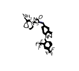 NCC1CN(C2=NC(=O)/C(=C/c3ccc4c(cnn4Cc4ccc(C(F)(F)F)cc4C(F)(F)F)c3)S2)CCO1